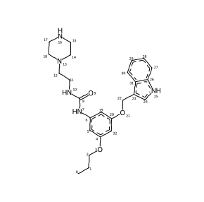 CCCOc1cc(NC(=O)NCCN2CCNCC2)cc(OCc2c[nH]c3ccccc23)c1